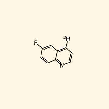 [2H]c1ccnc2ccc(F)cc12